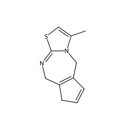 CC1=CSC2=NCC3=C(C=CC3)CN12